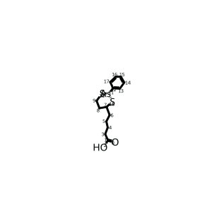 O=C(O)CCCCC1CCS[As](c2ccccc2)S1